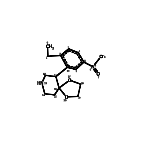 CCc1ccc([N+](=O)[O-])cc1C1CNCCC12OCCO2